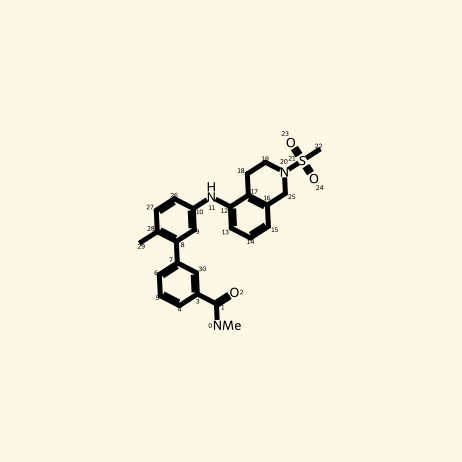 CNC(=O)c1cccc(-c2cc(Nc3cccc4c3CCN(S(C)(=O)=O)C4)ccc2C)c1